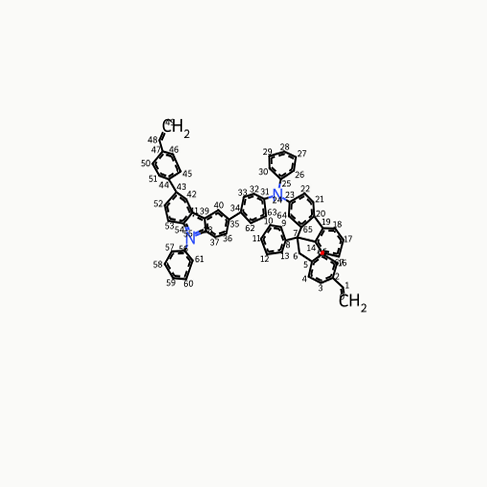 C=Cc1ccc(CC2(c3ccccc3)c3ccccc3-c3ccc(N(c4ccccc4)c4ccc(-c5ccc6c(c5)c5cc(-c7ccc(C=C)cc7)ccc5n6-c5ccccc5)cc4)cc32)cc1